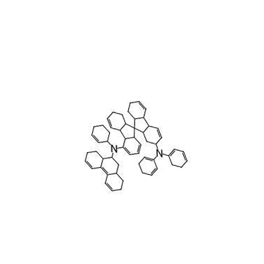 C1=CCCC(N(C2=CCCC=C2)C2C=CC3C4C=CCCC4C4(C5C=CC=C(N(C6C=CCCC6)C6CC7CCC=CC7=C7C=CCCC76)C5C5C=CCCC54)C3C2)=C1